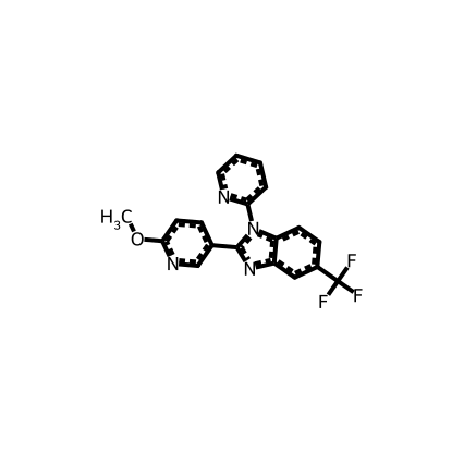 COc1ccc(-c2nc3cc(C(F)(F)F)ccc3n2-c2ccccn2)cn1